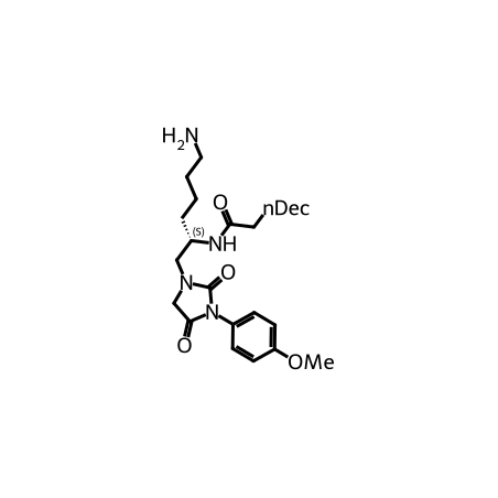 CCCCCCCCCCCC(=O)N[C@@H](CCCCN)CN1CC(=O)N(c2ccc(OC)cc2)C1=O